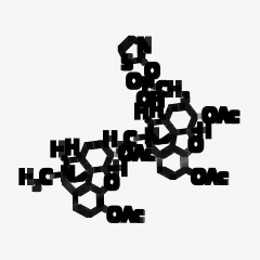 CC(=O)Oc1ccc2c3c1O[C@H]1[C@@H](OC(C)=O)C=C[C@H]4[C@@H](C2)N(C)CC[C@@]341.CC(=O)Oc1ccc2c3c1O[C@H]1[C@@H](OC(C)=O)C=C[C@H]4[C@@H](C2)N(C)CC[C@@]341.CP(=O)(O)Oc1nccs1